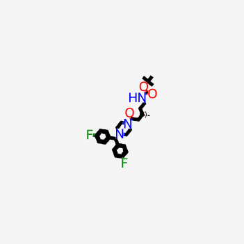 C[C@@H](CCNC(=O)OC(C)(C)C)CC(=O)N1CCN(C(c2ccc(F)cc2)c2ccc(F)cc2)CC1